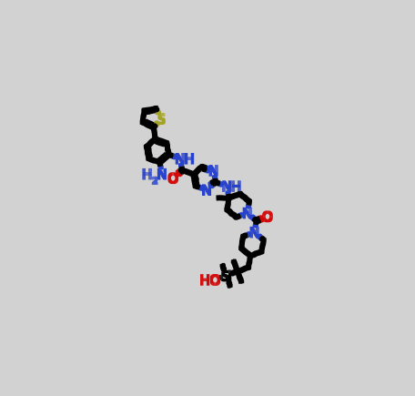 CC1(Nc2ncc(C(=O)Nc3cc(-c4cccs4)ccc3N)cn2)CCN(C(=O)N2CCC(CC(C)(C)[Si](C)(C)O)CC2)CC1